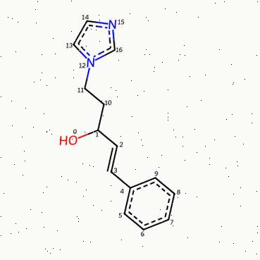 OC(/C=C/c1ccccc1)CCn1ccnc1